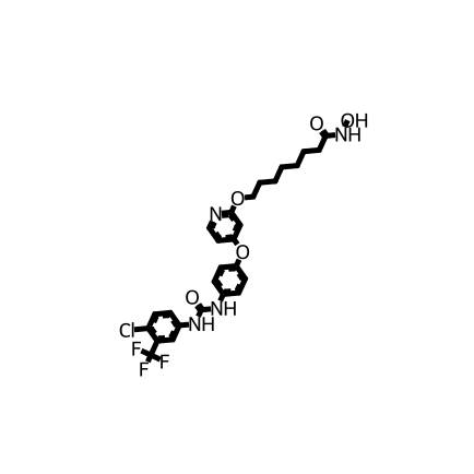 O=C(CCCCCCCOc1cc(Oc2ccc(NC(=O)Nc3ccc(Cl)c(C(F)(F)F)c3)cc2)ccn1)NO